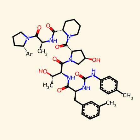 CC(=O)[C@@H]1CCCN1C(=O)[C@H](C)NC(=O)[C@@H]1CCCCN1C(=O)[C@@H]1C[C@@H](O)CN1C(=O)[C@@H](NC(=O)[C@H](Cc1cccc(C)c1)NC(=O)Nc1ccc(C)cc1)[C@H](C)O